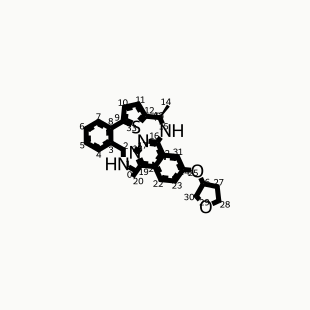 CNCc1ccccc1-c1ccc([C@@H](C)Nc2nnc(C)c3ccc(OC4CCOC4)cc23)s1